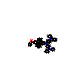 O=C(c1ccccc1)c1ccc([Si](c2ccccc2)(c2ccccc2)c2ccc(N(c3ccc(N(c4ccccc4)c4ccccc4)cc3)c3ccc(N(c4ccccc4)c4ccccc4)cc3)cc2)cc1